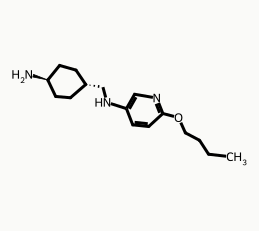 CCCCOc1ccc(NC[C@H]2CC[C@H](N)CC2)cn1